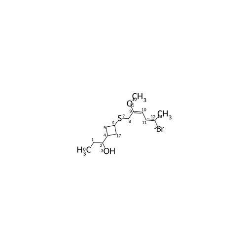 CCC(O)C1CC(SC/C(=C\C=C(/C)Br)OC)C1